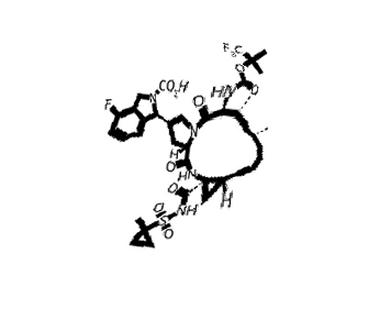 C[C@@H]1CC/C=C\[C@@H]2C[C@@]2(C(=O)NS(=O)(=O)C2(C)CC2)NC(=O)[C@@H]2C[C@@H](C3c4cccc(F)c4CN3C(=O)O)CN2C(=O)[C@@H](NC(=O)OC(C)(C)C(F)(F)F)[C@H](C)C1